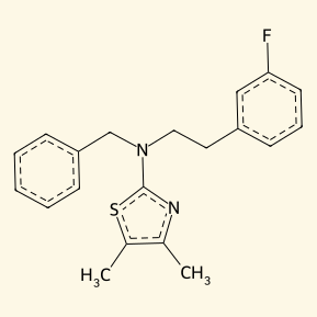 Cc1nc(N(CCc2cccc(F)c2)Cc2ccccc2)sc1C